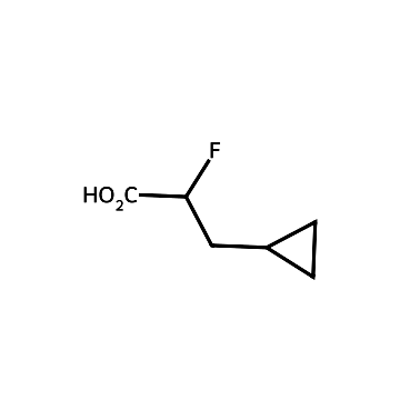 O=C(O)C(F)CC1CC1